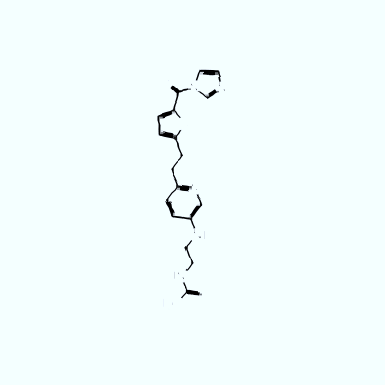 CC(=O)NCCNc1ccc(CCc2ccc(C(=O)n3ccnc3)s2)nc1